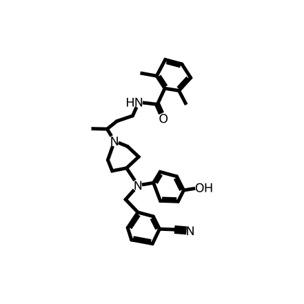 Cc1cccc(C)c1C(=O)NCCC(C)N1CCC(N(Cc2cccc(C#N)c2)c2ccc(O)cc2)CC1